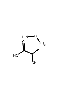 CC(O)C(=O)O.NON